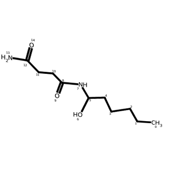 CCCCCC(O)NC(=O)CCC(N)=O